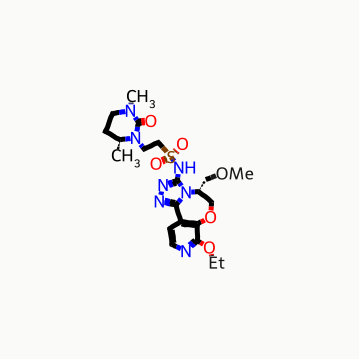 CCOc1nccc2c1OC[C@@H](COC)n1c(NS(=O)(=O)CCN3C(=O)N(C)CC[C@H]3C)nnc1-2